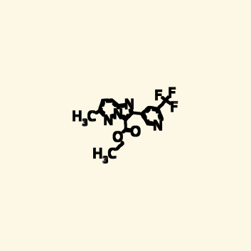 CCOC(=O)c1c(-c2cncc(C(F)(F)F)c2)nc2ccc(C)nn12